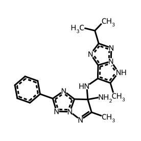 CC1=Nn2nc(-c3ccccc3)nc2C1(N)Nc1c(C)[nH]n2nc(C(C)C)nc12